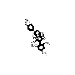 COc1ccc([C@@H]2C[C@@H]3O[C@H]2[C@H]2C(O)=C(c4c(C)cc(C)cc4C)C(=O)[C@H]23)cc1